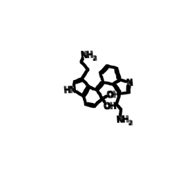 NCCC1=c2c(cccc2=C2c3c(CCN)c[nH]c3C=CC2(O)O)N=C1